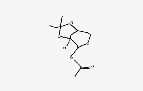 CC(=O)OC1SCC2OC(C)(C)O[C@@H]21